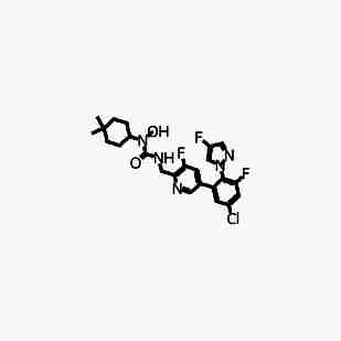 CC1(C)CCC(N(O)C(=O)NCc2ncc(-c3cc(Cl)cc(F)c3-n3cc(F)cn3)cc2F)CC1